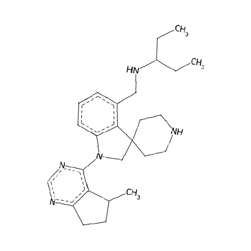 CCC(CC)NCc1cccc2c1C1(CCNCC1)CN2c1ncnc2c1C(C)CC2